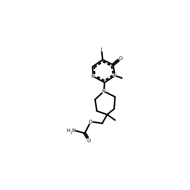 Cn1c(N2CCC(C)(COC(N)=O)CC2)ncc(I)c1=O